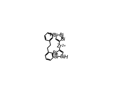 [CH]1=[C]([Zr+2][C]2=[CH][BiH][Bi]=[Bi]2)[Bi]=[Bi][BiH]1.c1ccc(CCc2ccccc2)cc1